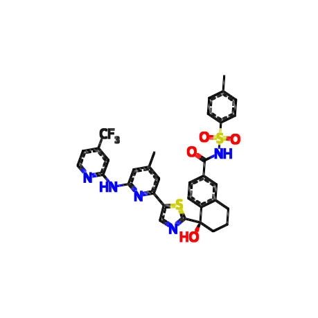 Cc1ccc(S(=O)(=O)NC(=O)c2ccc3c(c2)CCC[C@]3(O)c2ncc(-c3cc(C)cc(Nc4cc(C(F)(F)F)ccn4)n3)s2)cc1